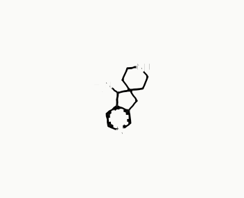 NC1c2ccncc2CC12CCNCC2